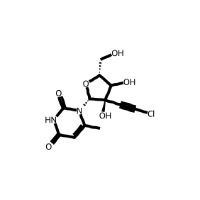 Cc1cc(=O)[nH]c(=O)n1[C@@H]1O[C@H](CO)C(O)[C@]1(O)C#CCl